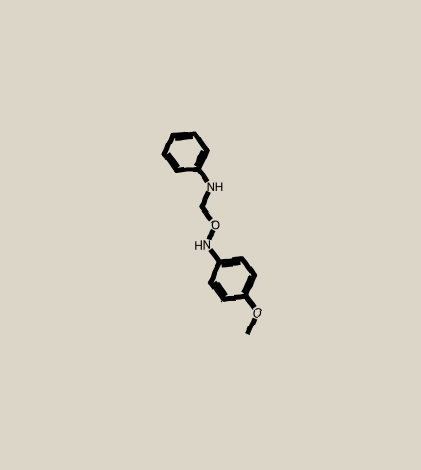 COc1ccc(NOCNc2ccccc2)cc1